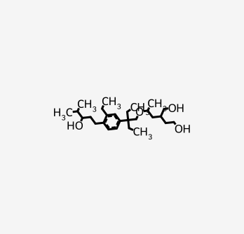 CCc1cc(C(CC)(CC)COC(C)CC(CO)CCO)ccc1CCC(O)C(C)C